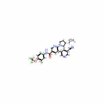 CC[C@H]1CCN(c2ncc(C(=O)Nc3ccc(OC(F)(F)F)c(F)c3)cc2-c2cncc(C#N)c2)C1